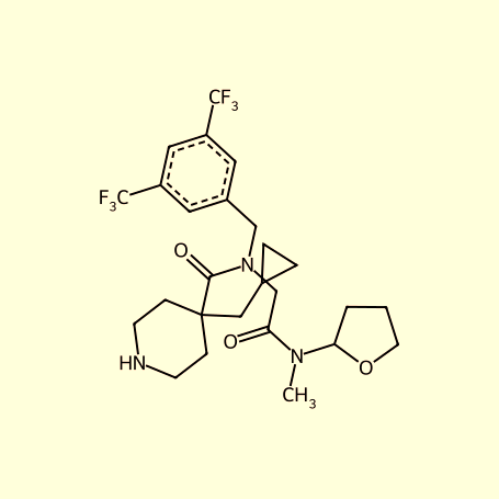 CN(C(=O)CN(Cc1cc(C(F)(F)F)cc(C(F)(F)F)c1)C(=O)C1(CC2CC2)CCNCC1)C1CCCO1